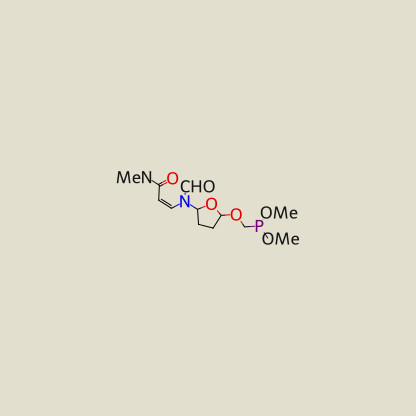 CNC(=O)/C=C\N(C=O)C1CCC(OCP(OC)OC)O1